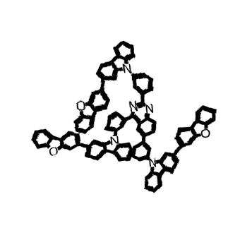 c1cc(-c2ccc3nc(-c4cccc(-n5c6ccccc6c6ccc(-c7ccc8c(c7)oc7ccccc78)cc65)c4)nc(-c4cccc(-n5c6ccccc6c6ccc(-c7ccc8c(c7)oc7ccccc78)cc65)c4)c3c2)cc(-n2c3ccccc3c3ccc(-c4ccc5c(c4)oc4ccccc45)cc32)c1